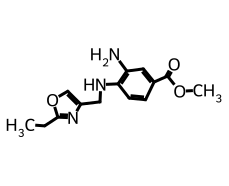 CCc1nc(CNc2ccc(C(=O)OC)cc2N)co1